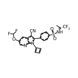 C[C@@H](NS(=O)(=O)c1ccc(-c2c(C#N)c3cc(OC(F)F)cnc3n2C2=CC=C2)cc1)C(F)(F)F